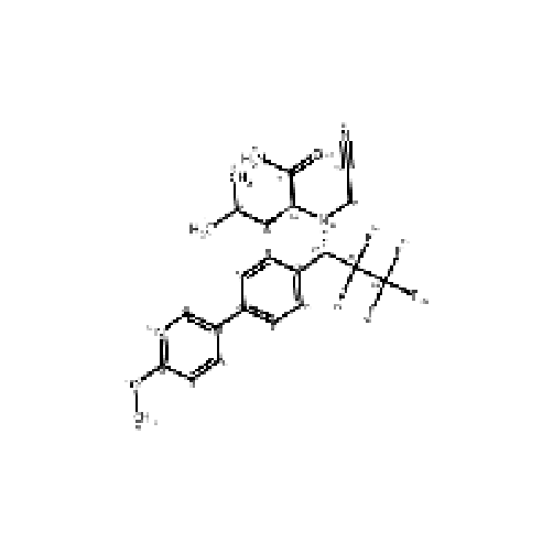 COc1ccc(-c2ccc([C@H](N(CC#N)[C@@H](CC(C)C)C(N)=O)C(F)(F)C(F)(F)F)cc2)cn1